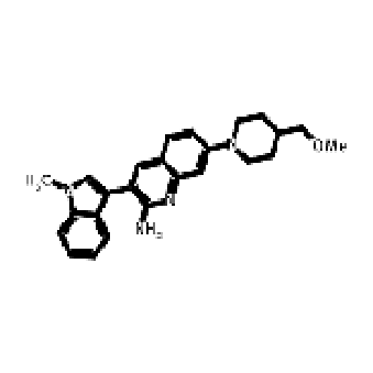 COCC1CCN(c2ccc3cc(-c4cn(C)c5ccccc45)c(N)nc3c2)CC1